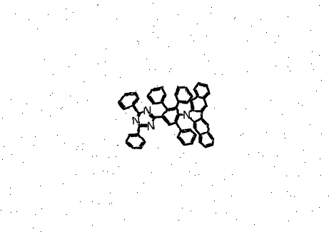 c1ccc(-c2nc(-c3ccccc3)nc(-c3cc(-c4ccccc4)c(-n4c5cc6ccccc6cc5c5cc6ccccc6cc54)c(-c4ccccc4)c3-c3ccccc3)n2)cc1